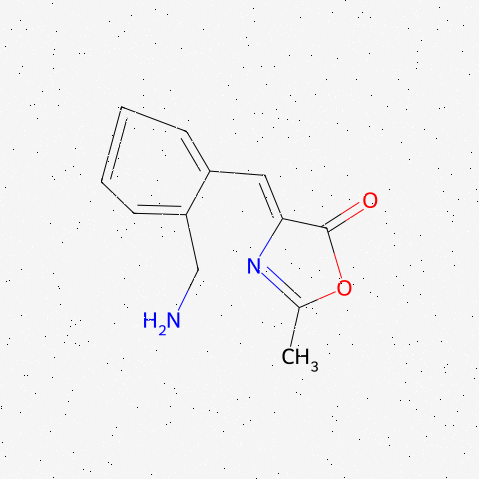 CC1=NC(=Cc2ccccc2CN)C(=O)O1